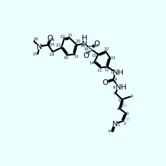 C=N/C=C\C=C(/C)CNC(=O)Nc1ccc(S(=O)(=O)Nc2ccc(CC(=O)N(C)C)cc2)cc1